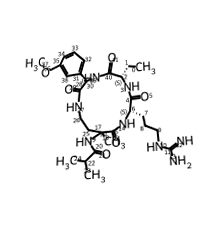 CC[C@@H]1NC(=O)[C@H](CCCNC(=N)N)NC(=O)[C@](C)(NC(=O)C(C)C)CCNC(=O)[C@@H](c2cccc(OC)c2)NC1=O